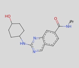 CC(C)NC(=O)c1ccc2cnc(NC3CCC(O)CC3)nc2c1